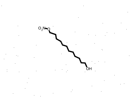 O=[N+]([O-])OCCCCCCCCCCCCO